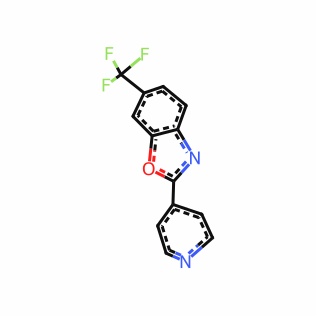 FC(F)(F)c1ccc2nc(-c3ccncc3)oc2c1